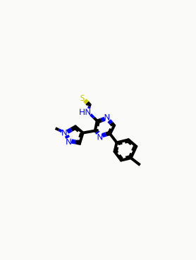 Cc1ccc(-c2cnc(NC=S)c(-c3cnn(C)c3)n2)cc1